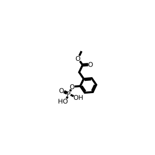 COC(=O)Cc1ccccc1OP(=O)(O)O